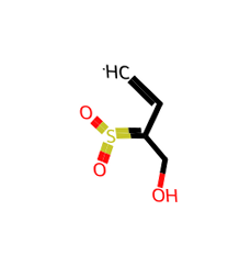 [CH]=CC(CO)=S(=O)=O